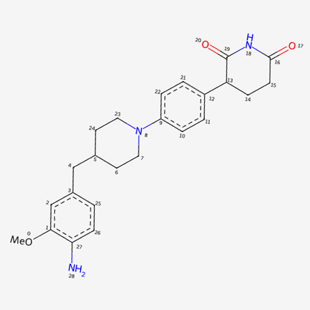 COc1cc(CC2CCN(c3ccc(C4CCC(=O)NC4=O)cc3)CC2)ccc1N